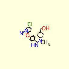 CN(C(=N)c1ccc(OC2=CC=C(Cl)CN2C#N)cc1)C1CCC(CO)CC1